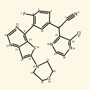 N#CC(c1ccc(F)c(-c2ncnc3cc(N4CCOCC4)sc23)c1)c1nccnc1Cl